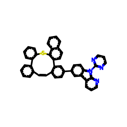 C1=C\c2ccc(-c3ccc4c(c3)c3cccnc3n4-c3ncccn3)cc2-c2ccc3ccccc3c2Sc2ccccc2-c2ccccc2/1